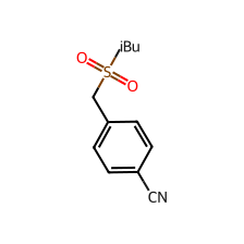 CCC(C)S(=O)(=O)Cc1ccc(C#N)cc1